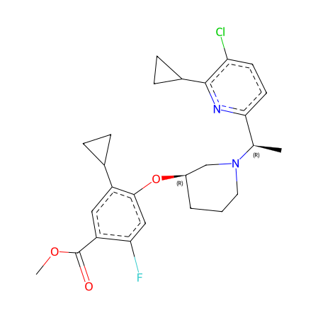 COC(=O)c1cc(C2CC2)c(O[C@@H]2CCCN([C@H](C)c3ccc(Cl)c(C4CC4)n3)C2)cc1F